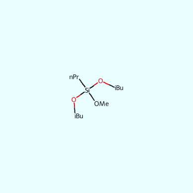 CCC[Si](OC)(OC(C)CC)OC(C)CC